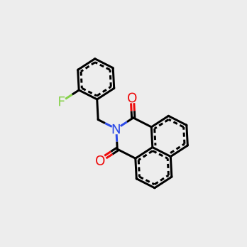 O=C1c2cccc3cccc(c23)C(=O)N1Cc1ccccc1F